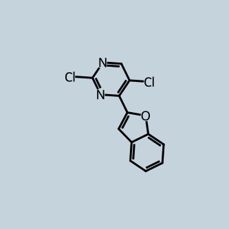 Clc1ncc(Cl)c(-c2cc3ccccc3o2)n1